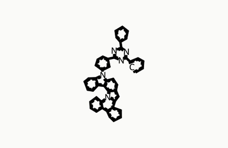 c1ccc(-c2nc(-c3ccccc3)nc(-c3cccc(-n4c5ccccc5c5c4ccc4cc6c7ccccc7c7ccccc7n6c45)c3)n2)cc1